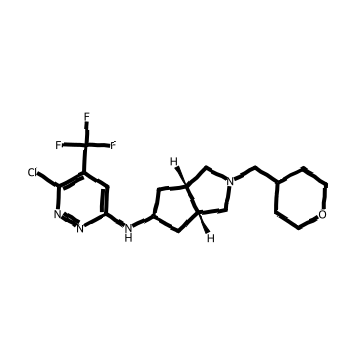 FC(F)(F)c1cc(NC2C[C@@H]3CN(CC4CCOCC4)C[C@@H]3C2)nnc1Cl